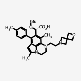 Cc1ccc(-c2c([C@H](OC(C)(C)C)C(=O)O)c(C)c3c4c2cc(C)n4CCN3CCN2CC3(COC3)C2)cc1